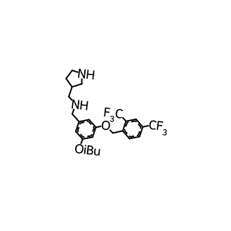 CC(C)COc1cc(CNCC2CCNC2)cc(OCc2ccc(C(F)(F)F)cc2C(F)(F)F)c1